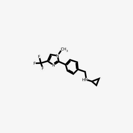 Cn1cc(C(F)(F)F)nc1-c1ccc(CNC2CC2)cc1